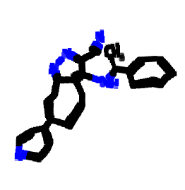 C[C@@H](Nc1c(C#N)nnc2cc(-c3ccncc3)ccc12)c1ccccc1